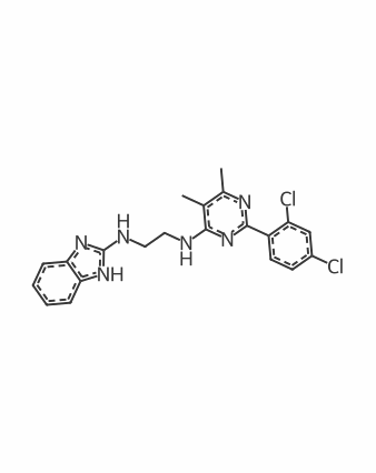 Cc1nc(-c2ccc(Cl)cc2Cl)nc(NCCNc2nc3ccccc3[nH]2)c1C